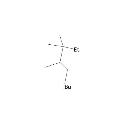 [CH2]CC(C)(C)C(C)CC(C)CC